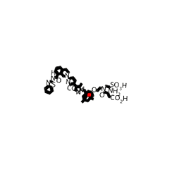 Cc1c(-c2ccc(N3CCc4cccc(C(=O)Nc5nc6ccccc6s5)c4C3)nc2C(=O)O)cnn1CC12CC3(C)CC(C)(C1)CC(OCCN(CCS(=O)(=O)O)C(=O)C(N)CC(=O)O)(C3)C2